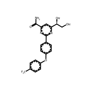 NC(=O)c1cc([C@@H](O)CO)nc(-c2ccc(Oc3ccc(C(F)(F)F)cc3)cc2)n1